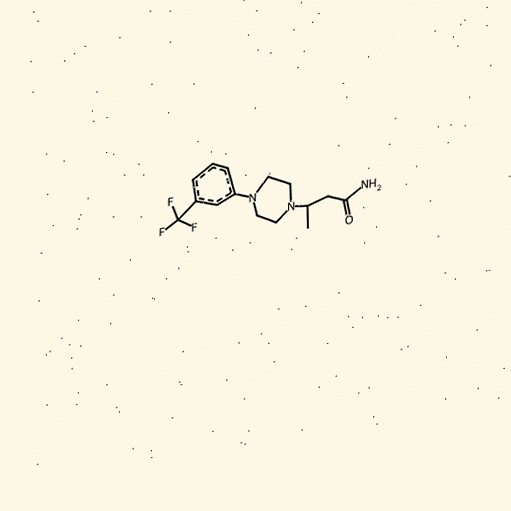 CC(CC(N)=O)N1CCN(c2cccc(C(F)(F)F)c2)CC1